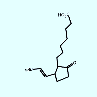 CCCCC=CC1CCC(=O)C1CCCCCCC(=O)O